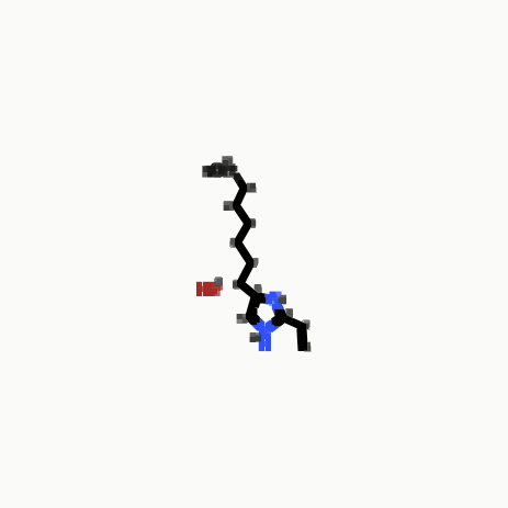 Br.C=Cc1nc(CCCCCCCCCCCCCC)c[nH]1